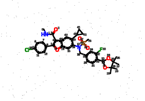 CNC(=O)c1c(-c2ccc(Cl)cc2)oc2cc(N(Cc3ccc(B4OC(C)(C)C(C)(C)O4)c(F)c3)S(C)(=O)=O)c(C3CC3)cc12